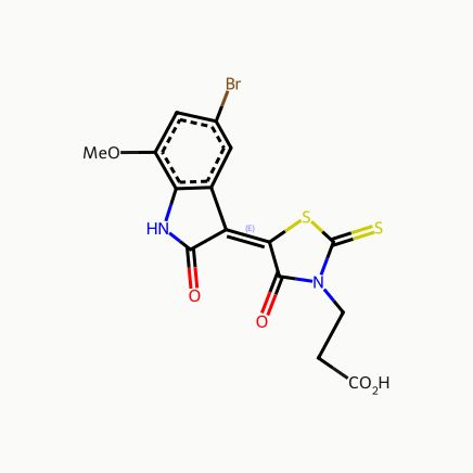 COc1cc(Br)cc2c1NC(=O)/C2=C1/SC(=S)N(CCC(=O)O)C1=O